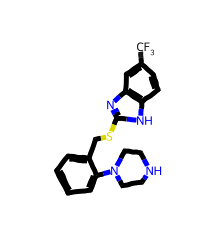 FC(F)(F)c1ccc2[nH]c(SCc3ccccc3N3CCNCC3)nc2c1